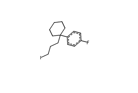 Fc1ccc(C2(CCCI)CCCCC2)cc1